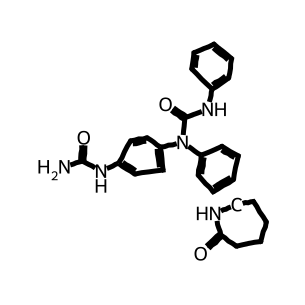 NC(=O)Nc1ccc(N(C(=O)Nc2ccccc2)c2ccccc2)cc1.O=C1CCCCCN1